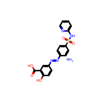 N.O=C(O)c1cc(N=Nc2ccc(S(=O)(=O)Nc3ccccn3)cc2)ccc1O